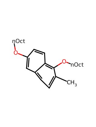 CCCCCCCCOc1ccc2c(OCCCCCCCC)c(C)ccc2c1